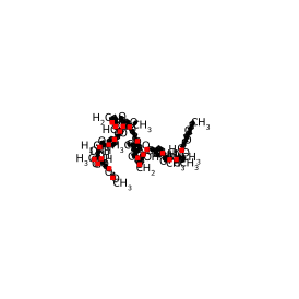 C=C1CC2C(O)N(C(=O)OCc3ccc(NC(=O)[C@H](C)NC(=O)[C@@H](NC(=O)OCCOCCOC)C(C)C)cc3)c3cc(OCCCOc4cc5c(cc4OC)C(=O)N4CC(=C)CC4C(O)N5C(=O)OCc4ccc(NC(=O)[C@H](C)NC(=O)[C@@H](NC(=O)OCCOCCOCCC)C(C)C)cc4)c(OC)cc3C(=O)N2C1